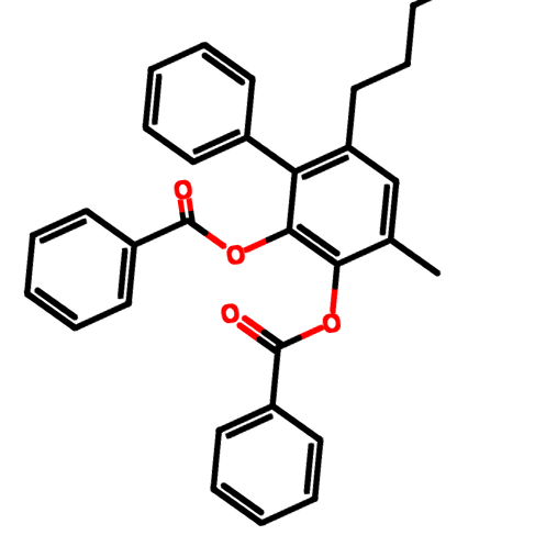 CCCCc1cc(C)c(OC(=O)c2ccccc2)c(OC(=O)c2ccccc2)c1-c1ccccc1